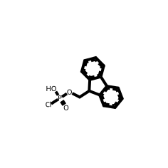 O=P(O)(Cl)OCC1c2ccccc2-c2ccccc21